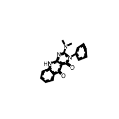 CN(C)c1nc2[nH]c3ccccc3c(=O)c2c(=O)n1-c1ccccc1